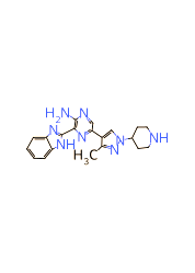 Cc1nn(C2CCNCC2)cc1-c1cnc(N)c(-c2nc3ccccc3[nH]2)n1